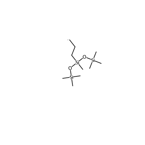 [CH2]CC[Si](C)(O[Si](C)(C)C)O[Si](C)(C)C